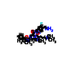 CN(C)CCCC[C@H](C(=O)N1CCN(C2=NC(C)(C)C(c3ccccc3)O2)C[C@H]1C(=O)NCc1ccc(CN)c(F)c1)N(C)C